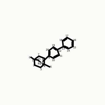 CC12CCC(C)(CC1)N(c1ccc(-c3ccccc3)cc1)C2